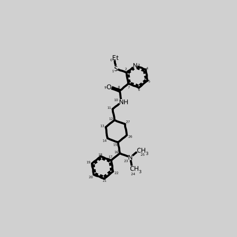 CCSc1ncccc1C(=O)NCC1CCC(C(c2ccccc2)N(C)C)CC1